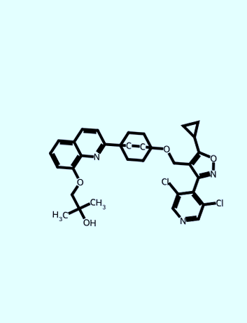 CC(C)(O)COc1cccc2ccc(C34CCC(OCc5c(-c6c(Cl)cncc6Cl)noc5C5CC5)(CC3)CC4)nc12